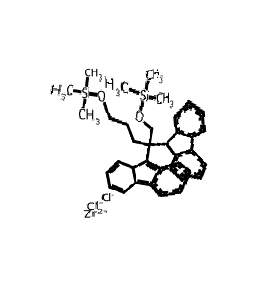 C[Si](C)(C)OCCCC(CO[Si](C)(C)C)(C1=c2ccccc2=C2C=CC=CC21)C1c2ccccc2-c2ccccc21.[Cl-].[Cl-].[Zr+2]